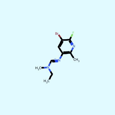 CCN(C)/C=N/c1cc(Br)c(F)nc1C